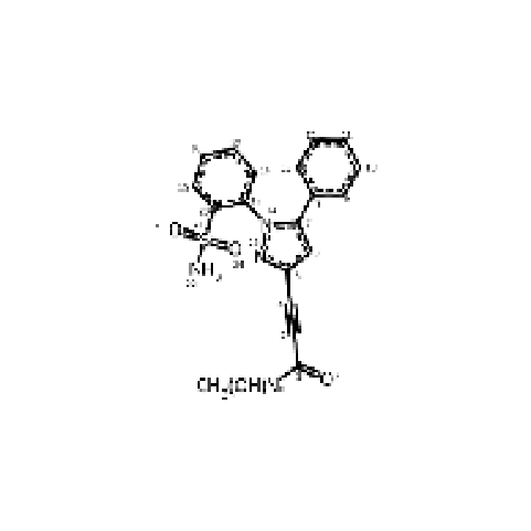 CN(O)C(=O)C#Cc1cc(-c2ccccc2)n(-c2ccccc2S(N)(=O)=O)n1